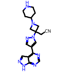 N#CCC1(n2cc(-c3ncnc4[nH]ncc34)cn2)CN(C2CCNCC2)C1